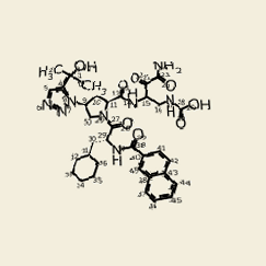 CC(C)(O)c1cnnn1[C@H]1C[C@@H](C(=O)NC(CNC(=O)O)C(=O)C(N)=O)N(C(=O)[C@@H](CC2CCCCC2)NC(=O)c2ccc3ccccc3c2)C1